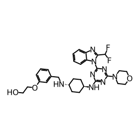 OCCOc1cccc(CN[C@H]2CC[C@H](Nc3nc(N4CCOCC4)nc(-n4c(C(F)F)nc5ccccc54)n3)CC2)c1